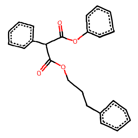 O=C(OCCCc1ccccc1)C(C(=O)Oc1ccccc1)c1ccccc1